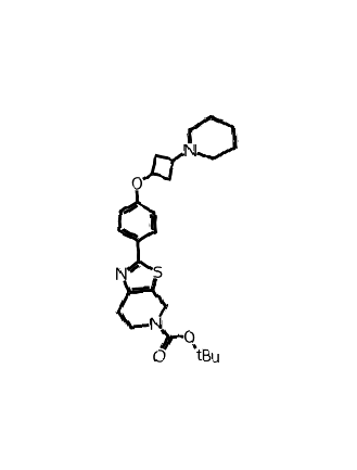 CC(C)(C)OC(=O)N1CCc2nc(-c3ccc(OC4CC(N5CCCCC5)C4)cc3)sc2C1